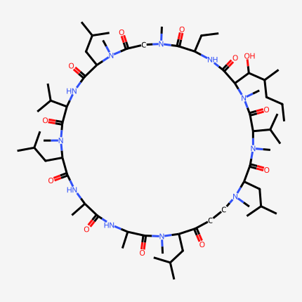 CCCC(C)C(O)C1C(=O)NC(CC)C(=O)N(C)CC(=O)N(C)C(CC(C)C)C(=O)NC(C(C)C)C(=O)N(C)C(CC(C)C)C(=O)NC(C)C(=O)NC(C)C(=O)N(C)C(CC(C)C)C(=O)CCN(C)C(CC(C)C)C(=O)N(C)C(C(C)C)C(=O)N1C